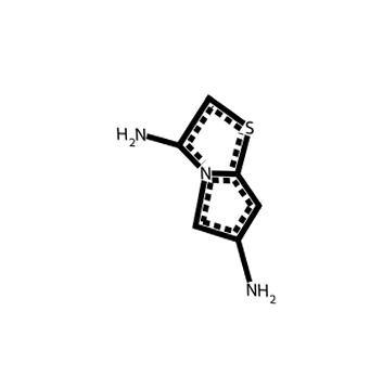 Nc1cc2scc(N)n2c1